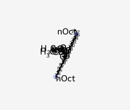 CCCCCCCC/C=C\CCCCCCCCCC(=O)O[C@H](COCCCCCCCC/C=C\CCCCCCCC)COP(=O)([O-])OCC[N+](C)(C)C